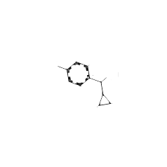 CC(C)c1ccc(C(O)C2CC2)cc1